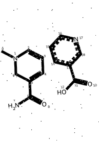 CN1C=CC=C(C(N)=O)C1.O=C(O)c1cccnc1